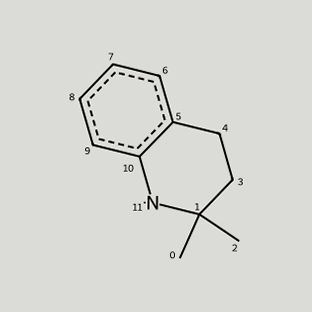 CC1(C)CCc2ccccc2[N]1